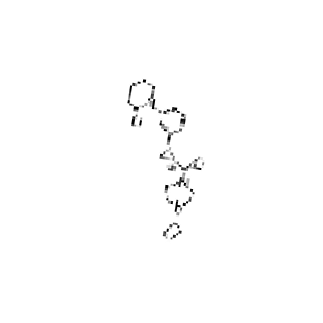 O=C([C@H]1CC1c1cccc(N2CCCCC2=O)c1)N1CCN(C2CCC2)CC1